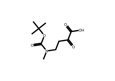 CN(CCC(=O)C(=O)O)C(=O)OC(C)(C)C